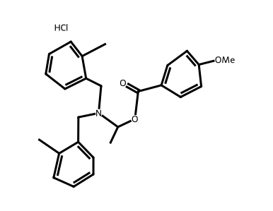 COc1ccc(C(=O)OC(C)N(Cc2ccccc2C)Cc2ccccc2C)cc1.Cl